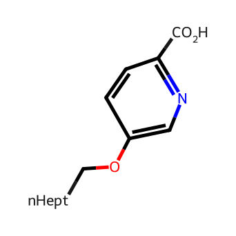 CCCCCCCCOc1ccc(C(=O)O)nc1